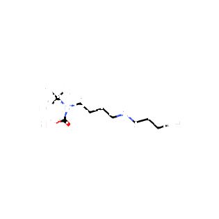 CCCCNCCCCN(C(=O)O)C(C)(C)C